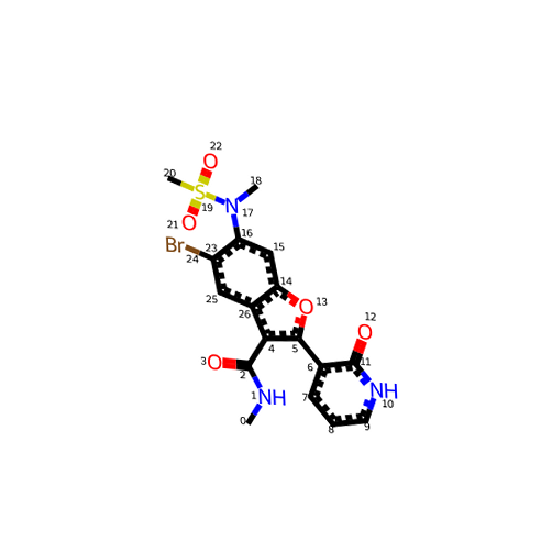 CNC(=O)c1c(-c2ccc[nH]c2=O)oc2cc(N(C)S(C)(=O)=O)c(Br)cc12